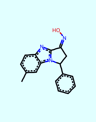 Cc1ccc2nc3n(c2c1)C(c1ccccc1)C/C3=N/O